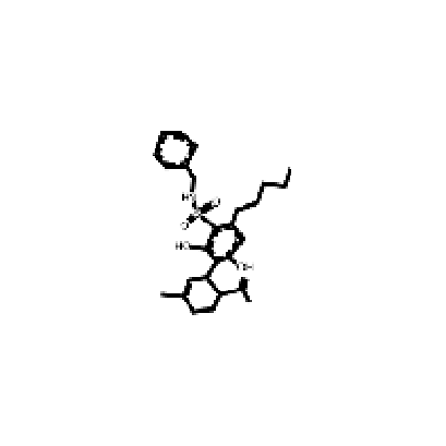 C=C(C)C1CCC(C)=CC1c1c(O)cc(CCCCC)c(S(=O)(=O)NCc2ccccc2)c1O